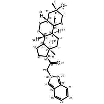 C[C@@]1(O)CC[C@@]2(C)[C@H](CC[C@@H]3[C@@H]2CC[C@]2(C)[C@@H](C(=O)Cn4cc5ccccc5n4)CC[C@@H]32)C1